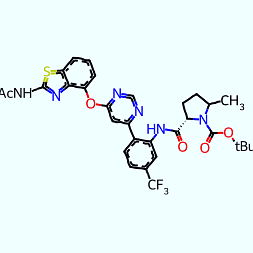 CC(=O)Nc1nc2c(Oc3cc(-c4ccc(C(F)(F)F)cc4NC(=O)[C@@H]4CCC(C)N4C(=O)OC(C)(C)C)ncn3)cccc2s1